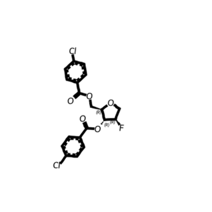 O=C(OC[C@H]1OC[C@@H](F)[C@@H]1OC(=O)c1ccc(Cl)cc1)c1ccc(Cl)cc1